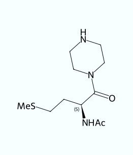 CSCC[C@H](NC(C)=O)C(=O)N1CCNCC1